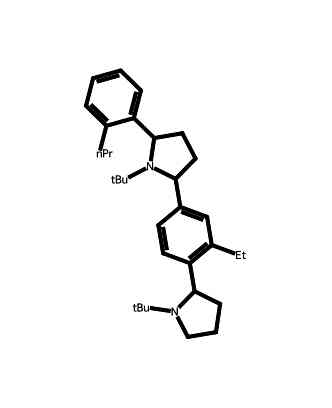 CCCc1ccccc1C1CCC(c2ccc(C3CCCN3C(C)(C)C)c(CC)c2)N1C(C)(C)C